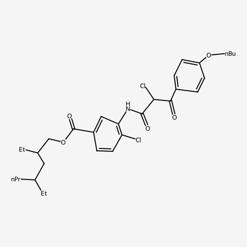 CCCCOc1ccc(C(=O)C(Cl)C(=O)Nc2cc(C(=O)OCC(CC)CC(CC)CCC)ccc2Cl)cc1